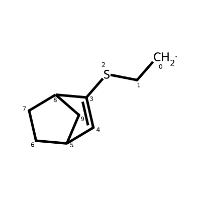 [CH2]CSC1=CC2CCC1C2